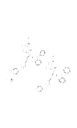 C[n+]1ccc(CN2CCC(=CC3=C(C(=O)OC(c4ccccc4)c4ccccc4)N4C(=O)[C@@H](NC(=O)OC(C)(C)C)[C@H]4SC3)C2=O)cc1.C[n+]1ccc(CN2CCC(=CC3=C(C(=O)OC(c4ccccc4)c4ccccc4)N4C(=O)[C@@H](NC(=O)OC(C)(C)C)[C@H]4SC3)C2=O)cc1.O=S(=O)([O-])[O-]